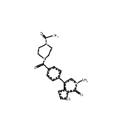 CC(=O)N1CCN(C(=O)c2ccc(-c3cn(C)c(=O)c4[nH]ccc34)cc2)CC1